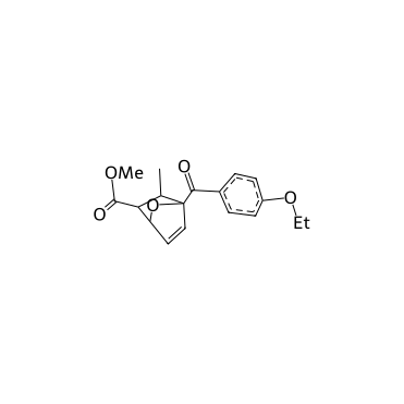 CCOc1ccc(C(=O)C23C=CC(O2)C(C(=O)OC)C3C)cc1